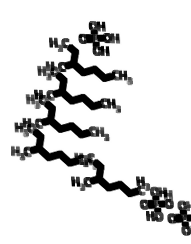 CCCCC(C)CC.CCCCC(C)CC.CCCCC(C)CC.CCCCC(C)CC.CCCCC(C)CC.O=P(O)(O)O.O=P(O)(O)O.O=P(O)(O)O